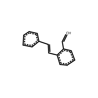 [CH]=Cc1cc[c]cc1C=Cc1ccccc1